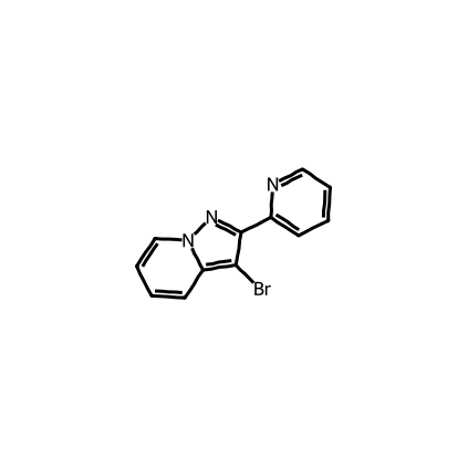 Brc1c(-c2ccccn2)nn2ccccc12